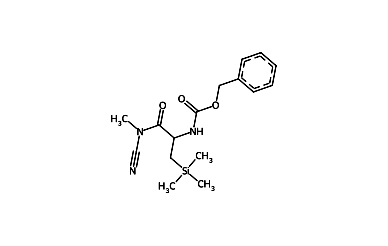 CN(C#N)C(=O)C(C[Si](C)(C)C)NC(=O)OCc1ccccc1